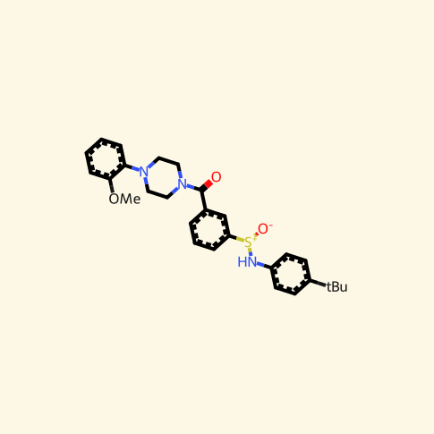 COc1ccccc1N1CCN(C(=O)c2cccc([S+]([O-])Nc3ccc(C(C)(C)C)cc3)c2)CC1